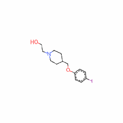 OCCN1CCC(COc2ccc(I)cc2)CC1